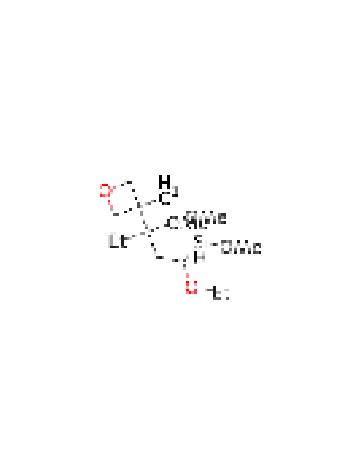 CCOC(CC(CC)(OC)C1(C)COC1)[SiH](OC)OC